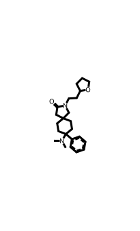 CN(C)C1(c2ccccc2)CCC2(CC1)CC(=O)N(CCC1CCCO1)C2